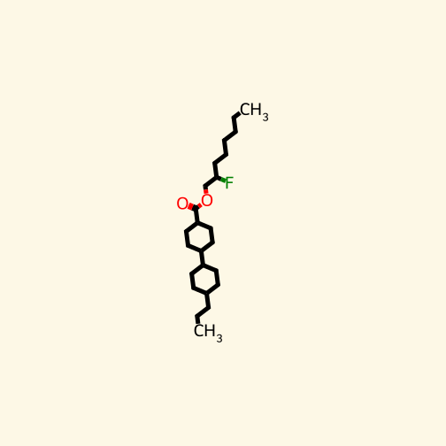 CCCCCCC(F)COC(=O)C1CCC(C2CCC(CCC)CC2)CC1